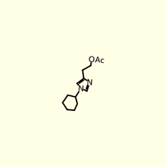 CC(=O)OCCc1cn(C2CCCCC2)cn1